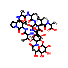 CC(=O)NC1[C@@H](OC(C)[C@H](N)C(=O)NC(C(=O)N2CCC[C@H]2C(=O)NC(C)C(=O)N[C@@H](C)C(=O)NC(C(=O)NC(C(=O)NC(C(=O)N[C@@H](C)C(=O)O)C(C)C)C(C)C)C(C)C)C(C)C)OC(CO)[C@H](O)[C@@H]1O[C@@H]1OC(CO)[C@H](O)C(O)[C@@H]1O